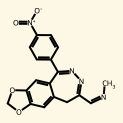 C/N=C\C1=NN=C(c2ccc([N+](=O)[O-])cc2)c2cc3c(cc2C1)OCO3